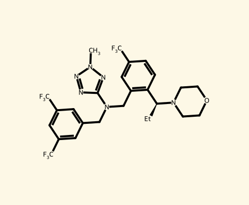 CC[C@@H](c1ccc(C(F)(F)F)cc1CN(Cc1cc(C(F)(F)F)cc(C(F)(F)F)c1)c1nnn(C)n1)N1CCOCC1